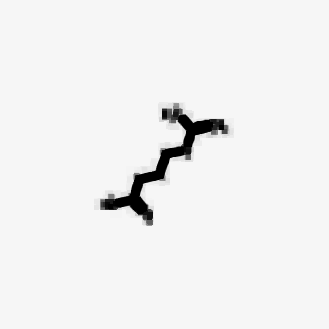 C=C(C)OCCCC(=O)O